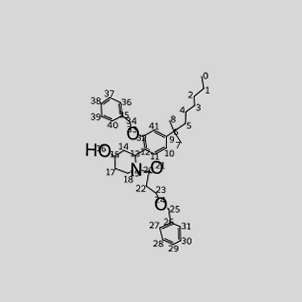 CCCCCCC(C)(C)c1ccc(C2CC(O)CCN2C(=O)CCOCc2ccccc2)c(OCc2ccccc2)c1